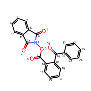 O=C(ON1C(=O)c2ccccc2C1=O)c1ccccc1C(=O)c1ccccc1